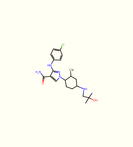 CC(C)(O)CNC1CCC(n2cc(C(N)=O)c(Nc3ccc(Cl)cc3)n2)C(C#N)C1